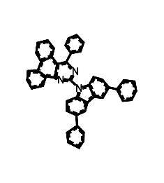 c1ccc(-c2ccc3c(c2)c2cc(-c4ccccc4)ccc2n3-c2nc(-c3ccccc3)c3c4ccccc4c4ccccc4c3n2)cc1